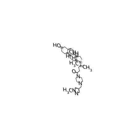 C[C@H](CCC(=O)N1CCN(Cc2cnn(C)c2)CC1)[C@H]1CC[C@H]2[C@@H]3CC=C4C[C@@H](O)CC[C@]4(C)[C@H]3CC[C@]12C